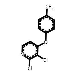 FC(F)(F)c1ccc(Oc2ccnc(Cl)c2Cl)cc1